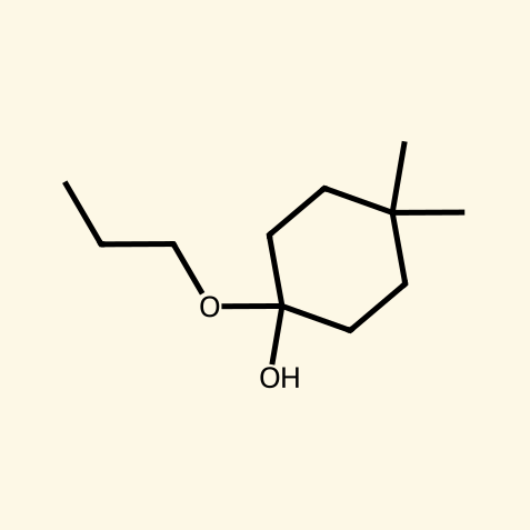 CCCOC1(O)CCC(C)(C)CC1